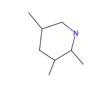 CC1C[N]C(C)C(C)C1